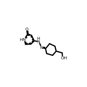 O=c1cc(NN=C2CCC(CO)CC2)cc[nH]1